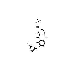 COc1cc(C)c(Sc2cnc(N)s2)c(F)c1C(=O)C1NCCN(C(=O)OC(C)(C)C)C1C